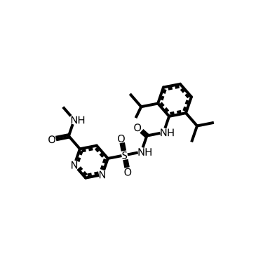 CNC(=O)c1cc(S(=O)(=O)NC(=O)Nc2c(C(C)C)cccc2C(C)C)ncn1